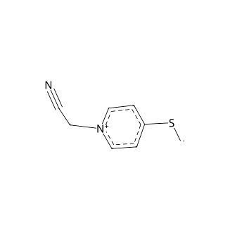 [CH2]Sc1cc[n+](CC#N)cc1